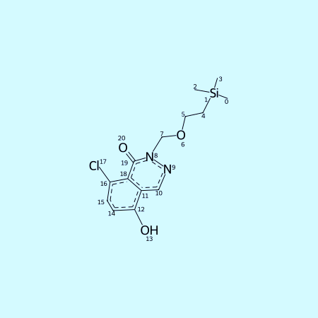 C[Si](C)(C)CCOCn1ncc2c(O)ccc(Cl)c2c1=O